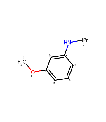 CC(C)Nc1cccc(OC(F)(F)F)c1